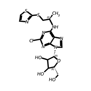 C[C@H](CSc1nccs1)Nc1nc(Cl)nc2c1ncn2[C@@H]1O[C@H](CO)C(O)C1O